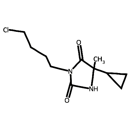 CC1(C2CC2)NC(=O)N(CCCCCl)C1=O